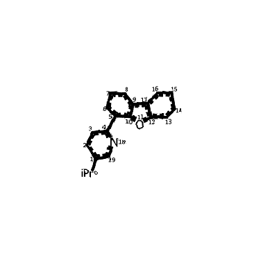 CC(C)c1ccc(-c2cccc3c2oc2ccccc23)nc1